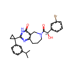 CC(C)c1cccc(C2(c3nc4c(c(=O)[nH]3)CN(C(=O)[C@H](O)c3cccc(Br)c3)CCC4)CC2)c1